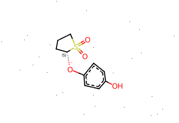 O=S1(=O)CCC[C@H]1Oc1ccc(O)cc1